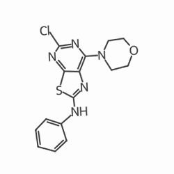 Clc1nc(N2CCOCC2)c2nc(Nc3ccccc3)sc2n1